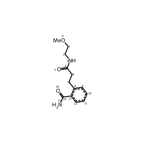 COCCNC(=O)C[CH]c1ccccc1C(N)=O